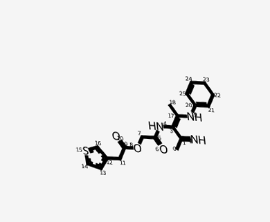 CC(=N)/C(NC(=O)COC(=O)Cc1ccsc1)=C(/C)NC1=CCCC=C1